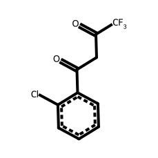 O=C(CC(=O)C(F)(F)F)c1ccccc1Cl